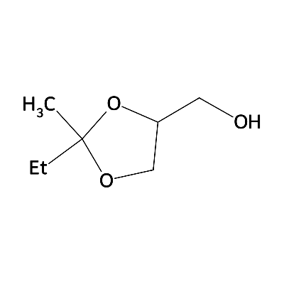 CCC1(C)OCC(CO)O1